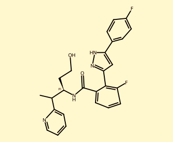 CC(c1ccccn1)[C@@H](CCO)NC(=O)c1cccc(F)c1-c1cc(-c2ccc(F)cc2)[nH]n1